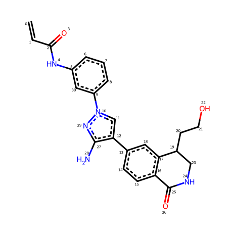 C=CC(=O)Nc1cccc(-n2cc(-c3ccc4c(c3)C(CCO)CNC4=O)c(N)n2)c1